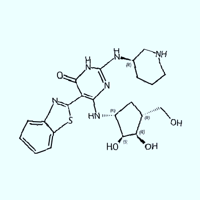 O=c1[nH]c(N[C@@H]2CCCNC2)nc(N[C@@H]2C[C@H](CO)[C@@H](O)[C@H]2O)c1-c1nc2ccccc2s1